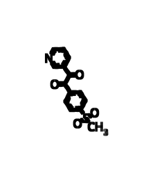 CS(=O)(=O)c1ccc(C(=O)C(=O)c2cccnc2)cc1